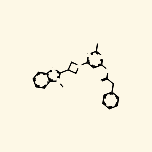 Cc1nc(NC(=O)Cc2ccccc2)cc(N2CC(c3nc4ccccc4n3C)C2)n1